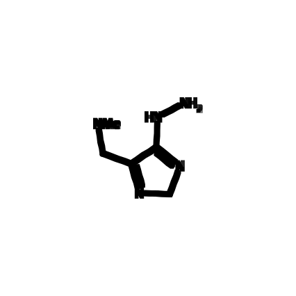 CNCC1=NCN=C1NN